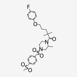 CC1CN(S(=O)(=O)c2ccc(S(C)(=O)=O)cc2)CCN1C(=O)C(C)(C)CCCOc1ccc(F)cc1